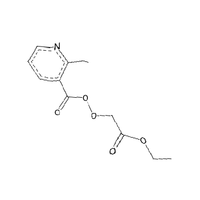 CCOC(=O)COOC(=O)c1cccnc1C